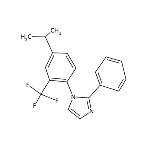 CC(C)c1ccc(-n2ccnc2-c2ccccc2)c(C(F)(F)F)c1